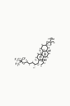 C[C@H](CCCOC(C(F)(F)F)(C(F)(F)F)C(F)(F)F)[C@H]1CC[C@H]2[C@@H]3CC[C@@H]4CC(O[Si](C)(C)C(C)(C)C)CC[C@]4(C)[C@H]3CC[C@]12C